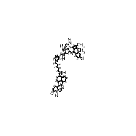 CC(=N)N1C(=N)[C@H](CC(=O)NCc2cn(CCCCCNC3CCC4c5c(cccc53)C(=O)N4C3CCC(=O)NC3=O)nn2)N=C(c2ccc(Cl)cc2)c2c1sc(C)c2C